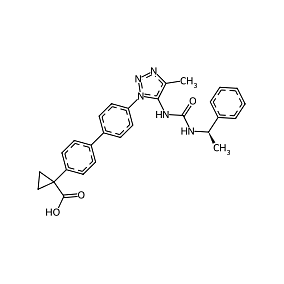 Cc1nnn(-c2ccc(-c3ccc(C4(C(=O)O)CC4)cc3)cc2)c1NC(=O)N[C@H](C)c1ccccc1